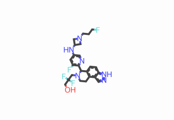 OCC(F)(F)CN1CCc2c(ccc3[nH]ncc23)C1c1ncc(NC2CN(CCCF)C2)cc1F